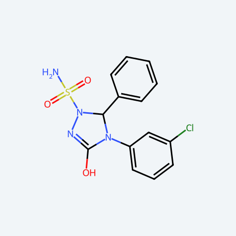 NS(=O)(=O)N1N=C(O)N(c2cccc(Cl)c2)C1c1ccccc1